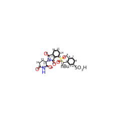 CCCCC(c1cc(S(=O)(=O)O)ccc1C)S(=O)(=O)c1cccc2c1C(=O)N(C1CCC(=O)NC1=O)C2=O